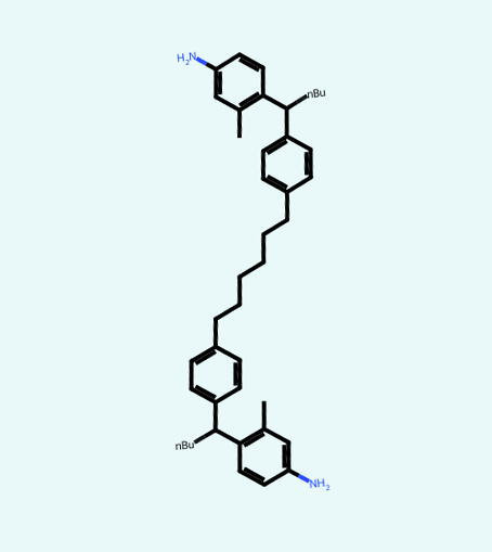 CCCCC(c1ccc(CCCCCCc2ccc(C(CCCC)c3ccc(N)cc3C)cc2)cc1)c1ccc(N)cc1C